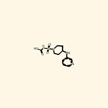 O=C(O)NS(=O)(=O)N1CCC(Nc2cccnc2)CC1